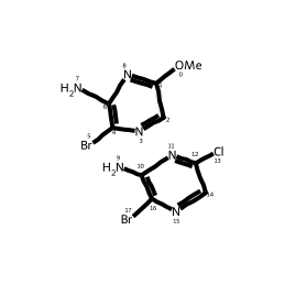 COc1cnc(Br)c(N)n1.Nc1nc(Cl)cnc1Br